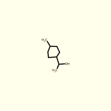 [CH2]C1CCC(C(C)O)CC1